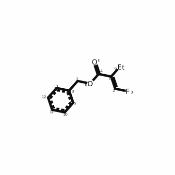 CCC(=CF)C(=O)OCc1ccccc1